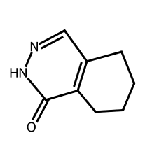 O=c1[nH]ncc2c1CCCC2